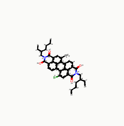 Bc1cc2c3c(ccc4c5c(Br)cc6c7c(ccc(c1c34)c75)C(=O)N(CC(CC)CCCC)C6=O)C(=O)N(CC(CC)CCCC)C2=O